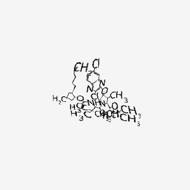 C=CCCC[C@@H]1CC(=C)C[C@H]1OC(=O)N[C@H](C(=O)N1C[C@H](Oc2nc3cc(Cl)ccc3nc2Cl)[C@@H](C)[C@H]1C(O)OC(C)(C)C)C(C)(C)C